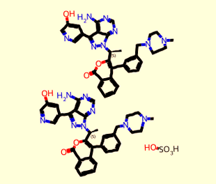 C[C@@H](c1oc(=O)c2ccccc2c1-c1cccc(CN2CCN(C)CC2)c1)n1nc(-c2cncc(O)c2)c2c(N)ncnc21.C[C@@H](c1oc(=O)c2ccccc2c1-c1cccc(CN2CCN(C)CC2)c1)n1nc(-c2cncc(O)c2)c2c(N)ncnc21.O=S(=O)(O)O